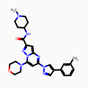 Cc1cccc(-c2cnn(-c3cc(N4CCOCC4)n4nc(C(=O)NC5CCN(C)CC5)cc4n3)c2)c1